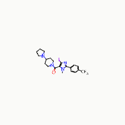 Cn1c(-c2ccc(C(F)(F)F)cc2)nc(I)c1C(=O)N1CCC(N2CCCC2)CC1